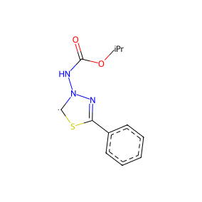 CC(C)OC(=O)NN1[CH]SC(c2ccccc2)=N1